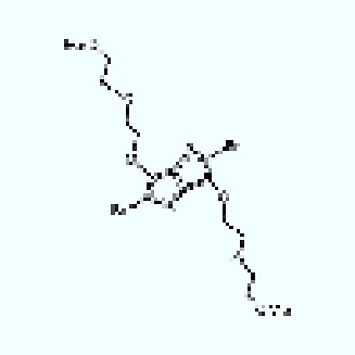 COCCOCCOc1c(Br)sc2c(OCCOCCOC)c(Br)sc12